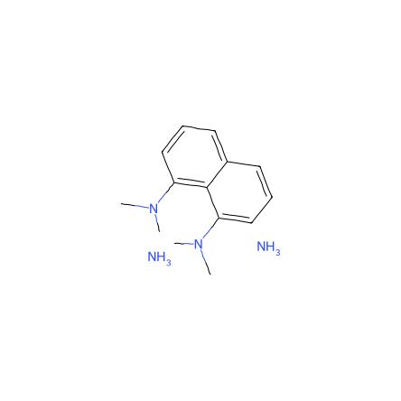 CN(C)c1cccc2cccc(N(C)C)c12.N.N